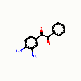 Nc1ccc(C(=O)C(=O)c2ccccc2)cc1N